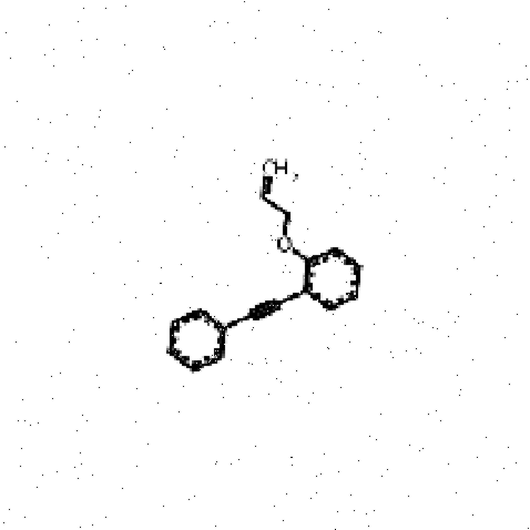 C=CCOc1ccccc1C#Cc1ccccc1